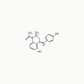 CC(=O)N1c2ccccc2[C@H](Nc2ccc(O)cc2)C[C@@H]1C.Cl